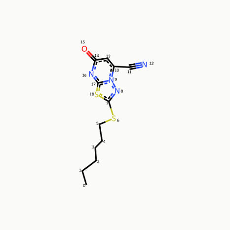 CCCCCCSc1nn2c(C#N)cc(=O)nc2s1